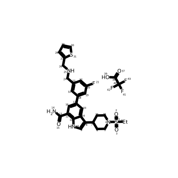 CCS(=O)(=O)N1CCC(c2c[nH]c3c(C(N)=O)cc(-c4cc(F)cc(CNCc5cccs5)c4)cc23)CC1.O=C(O)C(F)(F)F